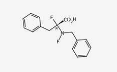 O=C(O)[C@](F)(Cc1ccccc1)N(F)Cc1ccccc1